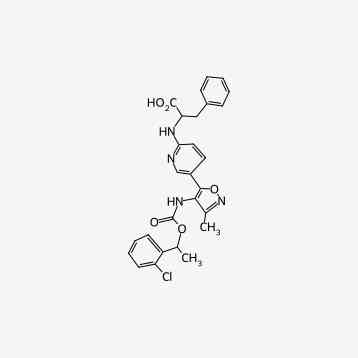 Cc1noc(-c2ccc(NC(Cc3ccccc3)C(=O)O)nc2)c1NC(=O)OC(C)c1ccccc1Cl